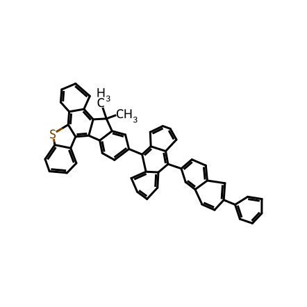 CC1(C)c2cc(-c3c4ccccc4c(-c4ccc5cc(-c6ccccc6)ccc5c4)c4ccccc34)ccc2-c2c1c1ccccc1c1sc3ccccc3c21